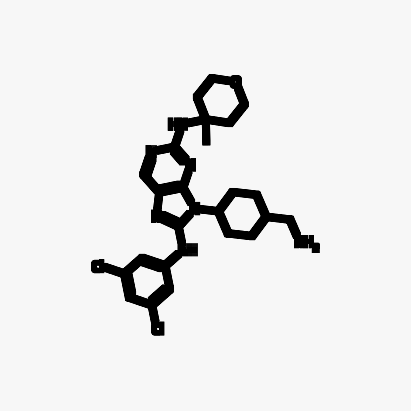 CC1(Nc2ncc3nc(Nc4cc(Cl)cc(Cl)c4)n(C4CCC(CN)CC4)c3n2)CCOCC1